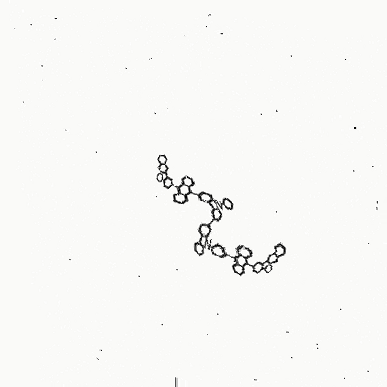 c1ccc(-n2c3ccc(-c4ccc5c6ccccc6n(-c6ccc(-c7c8ccccc8c(-c8ccc9oc%10cc%11ccccc%11cc%10c9c8)c8ccccc78)cc6)c5c4)cc3c3cc(-c4c5ccccc5c(-c5ccc6oc7cc8ccccc8cc7c6c5)c5ccccc45)ccc32)cc1